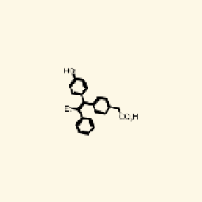 CC/C(=C(\c1ccc(O)cc1)c1ccc(CC(=O)O)cc1)c1ccccc1